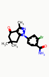 Cc1nn(-c2ccc(C(N)=O)c(Br)c2)c2c1C(=O)CC(C)(C)C2